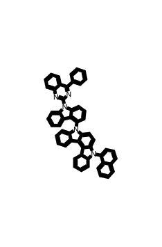 C1=CC2c3c(ccc4c3c3ccccc3n4-c3cccc4c3c3ccccc3n4-c3nc(-c4ccccc4)c4ccccc4n3)N(c3cccc4ccccc34)C2C=C1